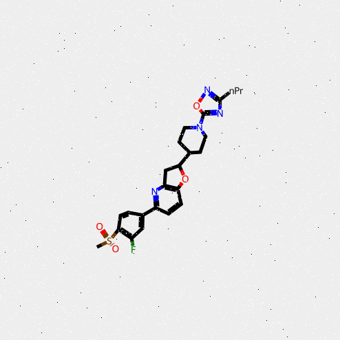 CCCc1noc(N2CCC(C3Cc4nc(-c5ccc(S(C)(=O)=O)c(F)c5)ccc4O3)CC2)n1